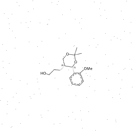 COc1ccccc1[C@H]1OC(C)(C)OC[C@H]1CCCO